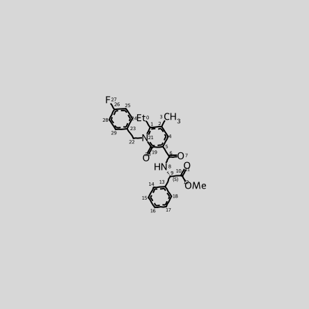 CCc1c(C)cc(C(=O)N[C@H](C(=O)OC)c2ccccc2)c(=O)n1Cc1ccc(F)cc1